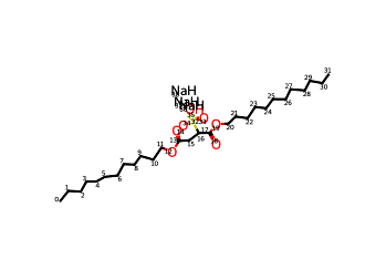 CCCCCCCCCCCCOC(=O)CC(C(=O)OCCCCCCCCCCCC)S(=O)(=O)O.[NaH].[NaH].[NaH]